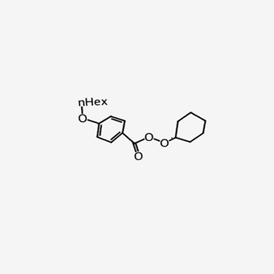 CCCCCCOc1ccc(C(=O)OO[C]2CCCCC2)cc1